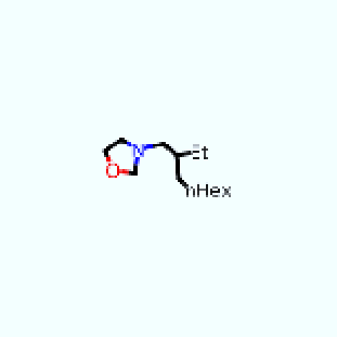 CCCCCCCC(CC)CN1CCOC1